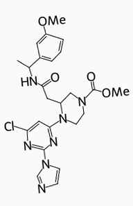 COC(=O)N1CCN(c2cc(Cl)nc(-n3ccnc3)n2)C(CC(=O)NC(C)c2cccc(OC)c2)C1